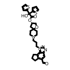 O=Cc1cc2nnn(CCCN3CCC4(CC3)C[C@H](OC(=O)C(O)(c3cccs3)c3cccs3)CO4)c2c2c1CCC2